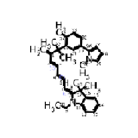 C=C(/C=C/C=C/C=C1/N(CC)c2ccccc2C1(C)C)C(C)(C)c1cc(-c2cccn2C)ccc1C